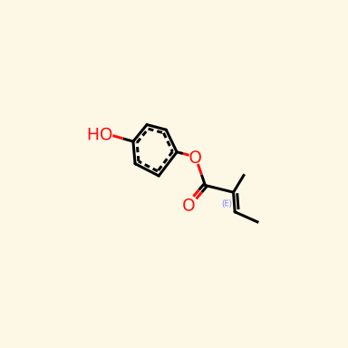 C/C=C(\C)C(=O)Oc1ccc(O)cc1